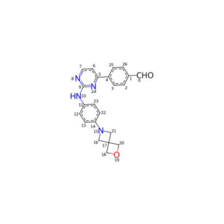 O=Cc1ccc(-c2ccnc(Nc3ccc(N4CC5(COC5)C4)cc3)n2)cc1